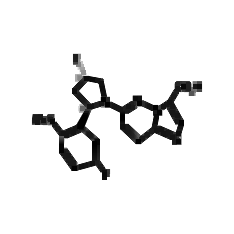 CSc1ccc(F)cc1[C@H]1C[C@H](F)CN1c1ccc2ncc(C(=O)O)n2n1